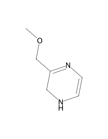 COCC1=NC=CNC1